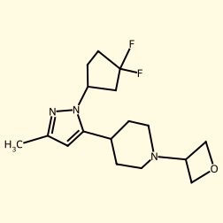 Cc1cc(C2CCN(C3COC3)CC2)n(C2CCC(F)(F)C2)n1